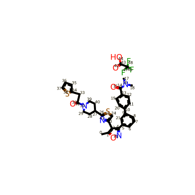 Cc1onc(-c2cccc(-c3ccc(C(=O)N(C)C)cc3)c2)c1-c1csc(C2CCN(C(=O)Cc3cccs3)CC2)n1.O=C(O)C(F)(F)F